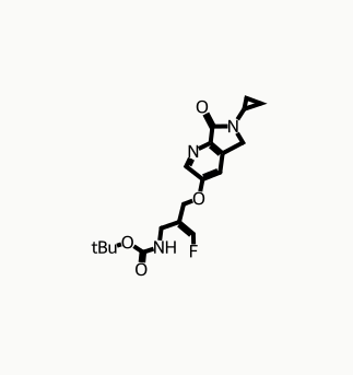 CC(C)(C)OC(=O)NCC(=CF)COc1cnc2c(c1)CN(C1CC1)C2=O